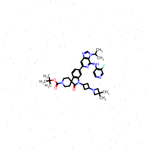 CC(C)n1cnc2cc(-c3ccc4c(c3)N(C3CC(N5CC(C)(C)C5)C3)C(=O)C43CCN(C(=O)OC(C)(C)C)CC3)nc(Nc3ccncc3F)c21